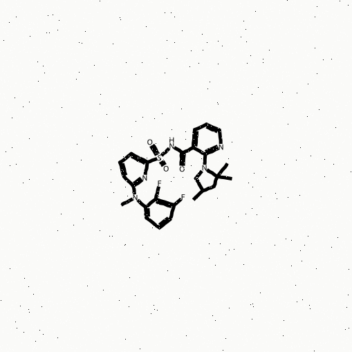 CC1CN(c2ncccc2C(=O)NS(=O)(=O)c2cccc(N(C)c3cccc(F)c3F)n2)C(C)(C)C1